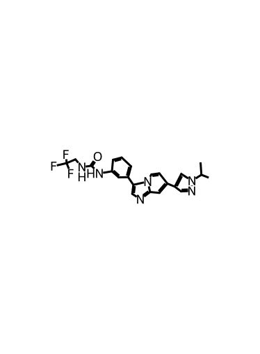 CC(C)n1cc(-c2ccn3c(-c4cccc(NC(=O)NCC(F)(F)F)c4)cnc3c2)cn1